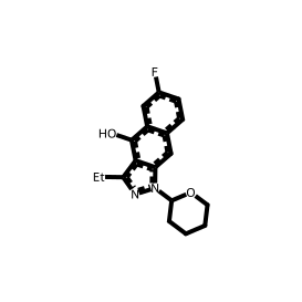 CCc1nn(C2CCCCO2)c2cc3ccc(F)cc3c(O)c12